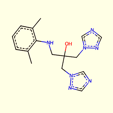 Cc1cccc(C)c1NCC(O)(Cn1cncn1)Cn1cncn1